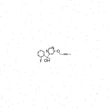 CC#CCOc1cc(C(C)(O)c2ccccc2F)ncn1